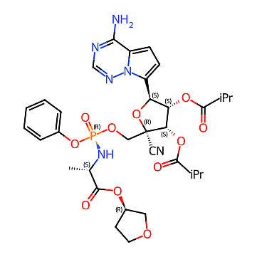 CC(C)C(=O)O[C@H]1[C@H](c2ccc3c(N)ncnn23)O[C@](C#N)(CO[P@](=O)(N[C@@H](C)C(=O)O[C@@H]2CCOC2)Oc2ccccc2)[C@H]1OC(=O)C(C)C